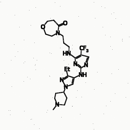 CCc1nn(C2CCN(C)CC2)cc1Nc1ncc(C(F)(F)F)c(NCCCN2CCOCCC2=O)n1